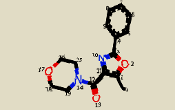 Cc1oc(-c2ccccc2)nc1C(=O)N1CCOCC1